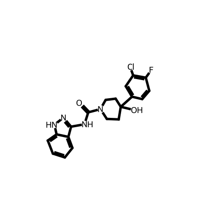 O=C(Nc1n[nH]c2ccccc12)N1CCC(O)(c2ccc(F)c(Cl)c2)CC1